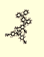 N#Cc1ccc(-c2cc(-c3c(C#N)cc(-n4c5ccccc5c5cc(N(c6ccccc6)c6ccccc6)ccc54)cc3C#N)nc(-c3ccc(C#N)cc3)n2)cc1